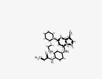 C=CC(=O)N[C@H]1CC[C@@H](Nc2cc(N3CCCC[C@H]3CCO)nc3c(CC)cnn23)CC1